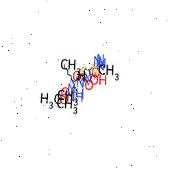 CCCCC/C=C(\C(=O)NC1C(=O)N2C(C(=O)O)=C(CSc3nnnn3C)CS[C@H]12)c1csc(NC(=O)OC(C)(C)C)n1